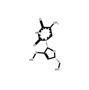 Cc1cn([C@@H]2O[C@H](CO)C=C2SS)c(=O)[nH]c1=O